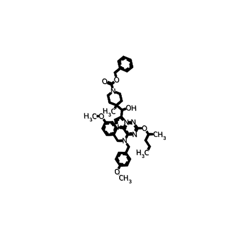 CCCC(C)Oc1nc(N(Cc2ccc(OC)cc2)Cc2ccc(OC)cc2)c2ncc(C(O)C3(C)CCN(C(=O)OCc4ccccc4)CC3)n2n1